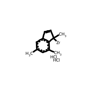 Cc1cc(C)c2c(c1)C=C[C]2(C)[Zr].Cl.Cl